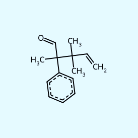 C=CC(C)(C)C(C)(C=O)c1ccccc1